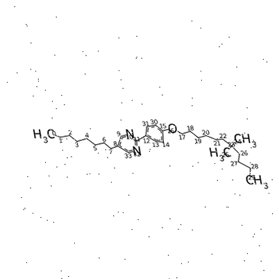 CCCCCCCCc1cnc(-c2ccc(OCCCCCCC(C)(C)CCCC)cc2)nc1